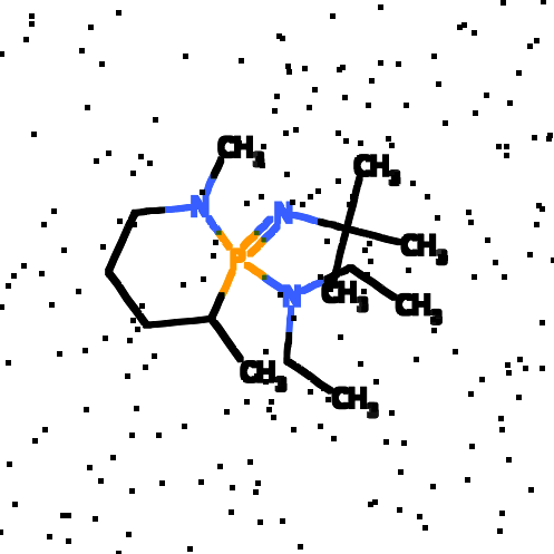 CCN(CC)P1(=NC(C)(C)C)C(C)CCCN1C